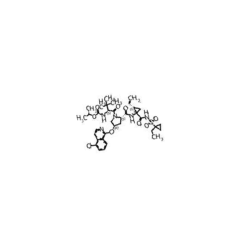 C=C[C@@H]1C[C@]1(NC(=O)[C@@H]1C[C@@H](Oc2nccc3c(Cl)cccc23)CN1C(=O)[C@@H](NC(=O)OC(C)C)C(C)(C)C)C(=O)NS(=O)(=O)C1(CC)CC1